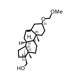 COCO[C@H]1CC[C@@]2(C)C(=CC[C@H]3[C@@H]4CC[C@H](CO)[C@@]4(C)CC[C@@H]32)C1